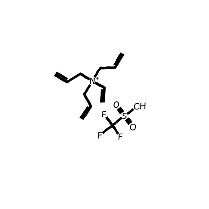 C=CC[N+](C=C)(CC=C)CC=C.O=S(=O)(O)C(F)(F)F